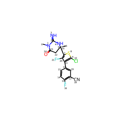 CN1C(=N)N[C@](C)(c2sc(Cl)c(-c3ccc(F)c(C#N)c3)c2F)CC1=O